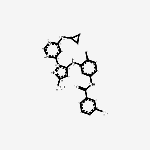 Cc1ccc(NC(=O)c2cccc(C(F)(F)F)c2)cc1Nc1cc(C(=O)O)nn1-c1cc(NC2CC2)ncn1